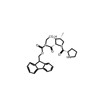 C[C@H]1C[C@@H](C(=O)N(CC(=O)O)C(=O)OCC2c3ccccc3-c3ccccc32)N(C(=O)[C@@H]2CCCN2)C1